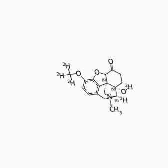 [2H]O[C@@]12CCC(=O)C3Oc4c(OC([2H])([2H])[2H])ccc5c4[C@@]31CCN(C)[C@]2([2H])C5